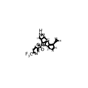 O=S(=O)(c1ccc(C(F)(F)F)nc1)N1C2c3c[nH]nc3C[C@]23Cc2c(C4CC4)cccc2C13